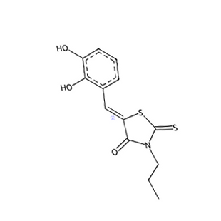 CCCN1C(=O)/C(=C/c2cccc(O)c2O)SC1=S